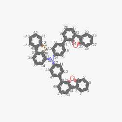 c1ccc2c(c1)oc1c(-c3ccc(N(c4ccc(-c5cccc6c5oc5ccccc56)cc4)c4cccc5c4sc4ccccc45)cc3)cccc12